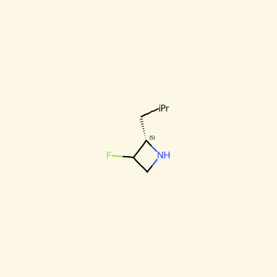 CC(C)C[C@@H]1NCC1F